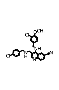 COc1ccc(CNc2c(CNCc3ccc(Cl)cc3)cnc3ccc(C#N)cc23)cc1Cl